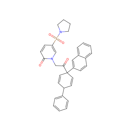 O=C(Cn1cc(S(=O)(=O)N2CCCC2)ccc1=O)C1(c2ccc3ccccc3c2)C=CC(c2ccccc2)C=C1